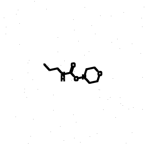 CCCNC(=O)ON1CCOCC1